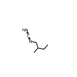 CCC(C)CN=C=N